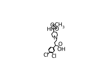 CS(=O)(=O)NC1CCN(CCC(C(=O)O)c2ccc(Cl)c(Cl)c2)CC1